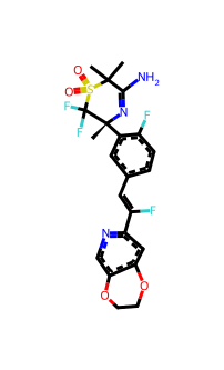 CC1(C)C(N)=N[C@](C)(c2cc(/C=C(\F)c3cc4c(cn3)OCCO4)ccc2F)C(F)(F)S1(=O)=O